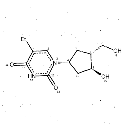 CCc1cn([C@@H]2C[C@H](CO)[C@@H](O)C2)c(=O)[nH]c1=O